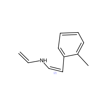 C=CN/C=C\c1ccccc1C